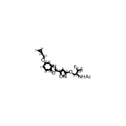 CC(=O)NC(COc1cc(-c2nc3cc(OCC4CC4)ccc3o2)on1)C(F)F